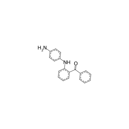 Nc1ccc(Nc2ccccc2C(=O)c2ccccc2)cc1